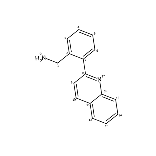 NCc1ccccc1-c1c[c]c2ccccc2n1